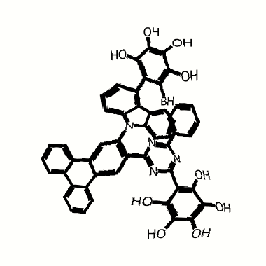 Bc1c(O)c(O)c(O)c(O)c1-c1cccc2c1c1ccccc1n2-c1cc2c3ccccc3c3ccccc3c2cc1-c1nc(-c2ccccc2)nc(-c2c(O)c(O)c(O)c(O)c2O)n1